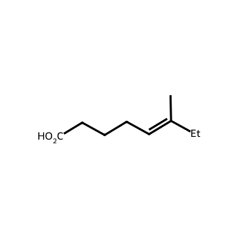 CCC(C)=CCCCC(=O)O